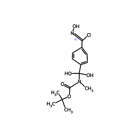 CN(C(=O)OC(C)(C)C)C(O)(O)c1ccc(/C(Cl)=N/O)cc1